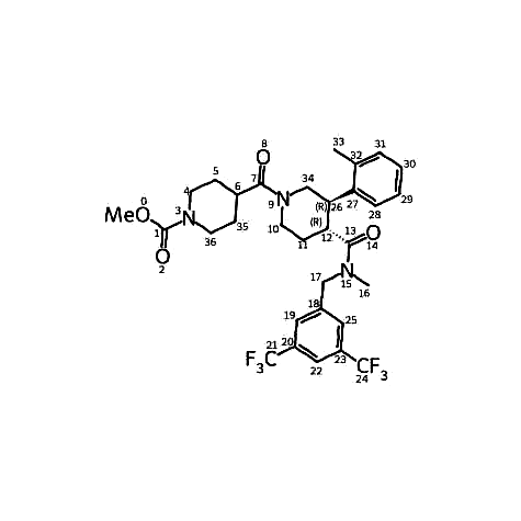 COC(=O)N1CCC(C(=O)N2CC[C@@H](C(=O)N(C)Cc3cc(C(F)(F)F)cc(C(F)(F)F)c3)[C@H](c3ccccc3C)C2)CC1